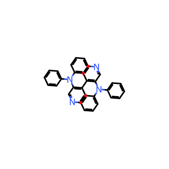 c1ccc(N(c2ccccc2)c2cnccc2-c2ccncc2N(c2ccccc2)c2ccccc2)cc1